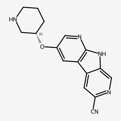 N#Cc1cc2c(cn1)[nH]c1ncc(O[C@H]3CCCNC3)cc12